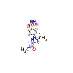 CNC(=O)c1cc(C)n(-c2ccc(S(N)(=O)=O)cc2)n1